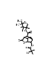 CCC(C)(C)C(=O)OC1C2CC3C1OC(=O)C3C2C(=O)OC1(C)COC(O)(C(F)(F)F)C1(F)F